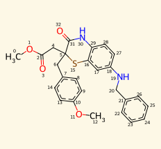 COC(=O)CC1(Cc2ccc(OC)cc2)Sc2cc(NCc3ccccc3)ccc2NC1=O